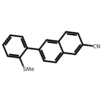 CSc1ccccc1-c1ccc2cc(C#N)ccc2c1